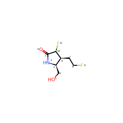 O=C1N[C@H](CO)[C@H](CCF)[C@@H]1F